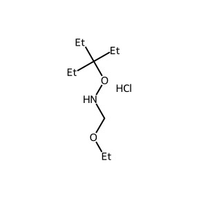 CCOCNOC(CC)(CC)CC.Cl